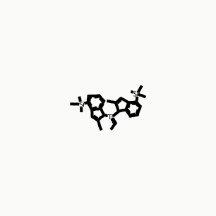 C[CH]=[Ti]([CH]1C(C)=Cc2c1cccc2[Si](C)(C)C)[CH]1C(C)=Cc2c1cccc2[Si](C)(C)C